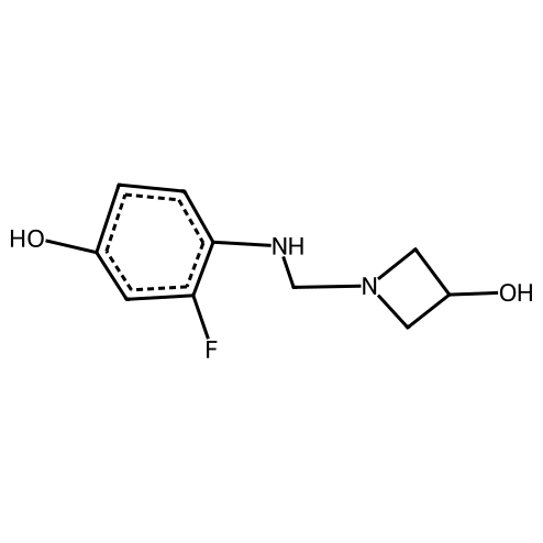 Oc1ccc(NCN2CC(O)C2)c(F)c1